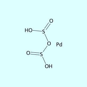 O=S(O)OS(=O)O.[Pd]